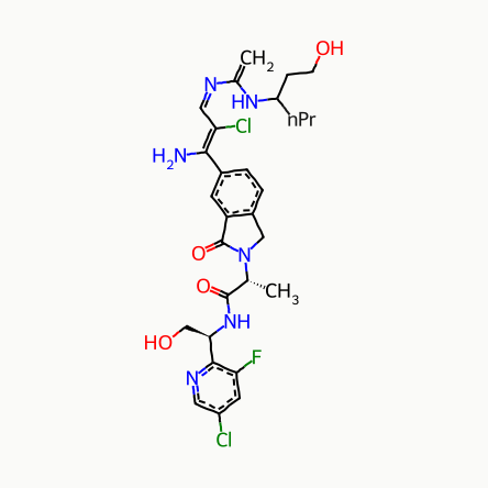 C=C(/N=C\C(Cl)=C(/N)c1ccc2c(c1)C(=O)N([C@H](C)C(=O)N[C@H](CO)c1ncc(Cl)cc1F)C2)NC(CCC)CCO